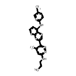 OCCNc1cc(C(F)(F)F)c(-c2cnc3c(Nc4ccc(C(F)(F)F)cn4)ccnc3n2)nn1